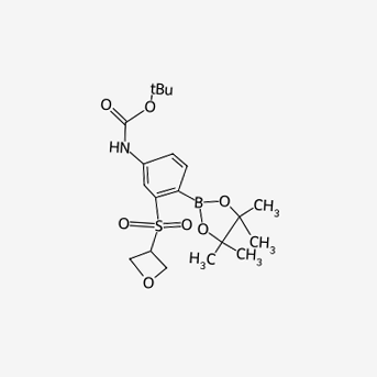 CC(C)(C)OC(=O)Nc1ccc(B2OC(C)(C)C(C)(C)O2)c(S(=O)(=O)C2COC2)c1